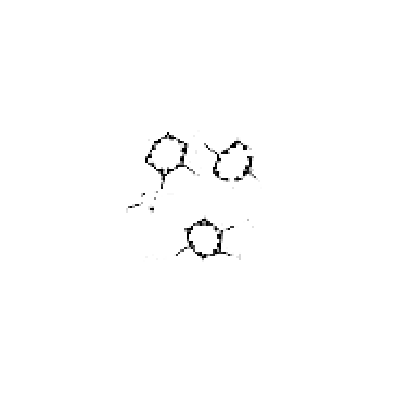 COc1ccc(OC)c(N)c1.CS(=O)(=O)Nc1ccccc1Nc1nc(Cl)ncc1Br